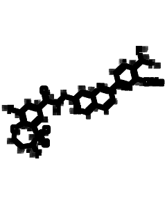 COc1nc(-c2ccc3cnc(CNC(=O)c4cc(F)c5c(c4)S(=O)(=O)[C@@H](F)CCO5)cc3n2)ccc1C(F)F